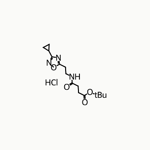 CC(C)(C)OC(=O)CCC(=O)NCCc1nc(C2CC2)no1.Cl